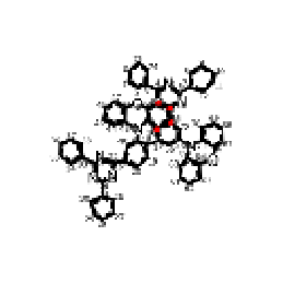 c1ccc(-c2nc(-c3ccccc3)nc(-c3cc(-c4ccc(-c5nc(-c6ccccc6)nc(-c6ccccc6)n5)cc4N4c5ccccc5Oc5ccccc54)cc(N4c5ccccc5Oc5ccccc54)c3)n2)cc1